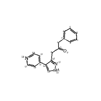 O=C(Cc1ccccc1)Cc1n[nH]cc1-c1ccncc1